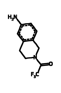 Nc1ccc2c(c1)CCN(C(=O)C(F)(F)F)C2